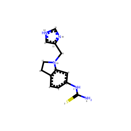 NC(=S)Nc1ccc2c(c1)N(Cc1c[nH]cn1)CC2